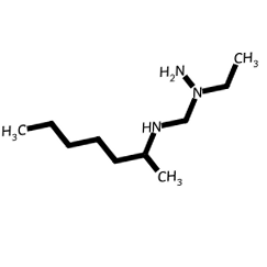 CCCCCC(C)NCN(N)CC